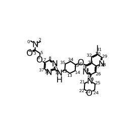 CN(C)C(=O)COc1cnc(NC2CCC(Oc3nc(N4CCOCC4)cc4ncc(I)cc34)CC2)nc1